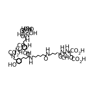 O=CO[C@H](CCCCNC(=O)CCCCCNC(=O)CCc1ccc(O)c(CN(CCN(CC(=O)O)Cc2cc(CCC(=O)NC(P(=O)(O)O)P(=O)(O)O)ccc2O)CC(=O)O)c1)NC(=O)N[C@@H](CCC(=O)O)C(=O)O